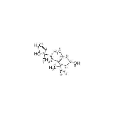 C=CC(C)(O)/C=C/C1=C(C)C[C@H](O)CC1(C)C